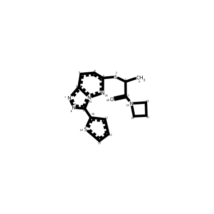 CC(Sc1ccc2nnc(-c3cccs3)n2n1)C(=O)N1CCC1